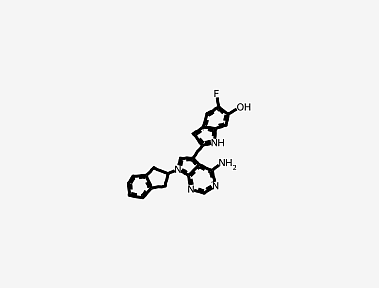 Nc1ncnc2c1c(-c1cc3cc(F)c(O)cc3[nH]1)cn2C1Cc2ccccc2C1